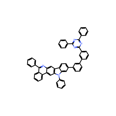 c1ccc(-c2nc(-c3ccccc3)nc(-c3cccc(-c4cccc(-c5ccc6c7cc8nc(-c9ccccc9)c9ccccc9c8cc7n(-c7ccccc7)c6c5)c4)c3)n2)cc1